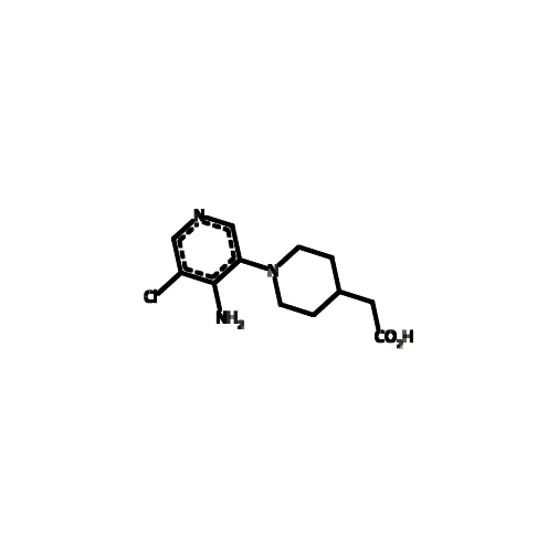 Nc1c(Cl)cncc1N1CCC(CC(=O)O)CC1